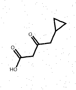 O=C(O)CC(=O)CC1CC1